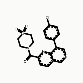 O=C(c1ccc2cncc(-c3ccc(Cl)cc3)c2n1)N1CCS(=O)(=O)CC1